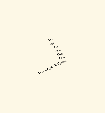 [As-3].[As-3].[As-3].[As-3].[Ge+4].[Ge+4].[Ge+4].[Ge+4].[Ge+4].[Se-2].[Se-2].[Se-2].[Se-2]